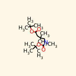 CN(CC(C)(C)CC(=O)OC(C)(C)C)C(=O)OC(C)(C)C